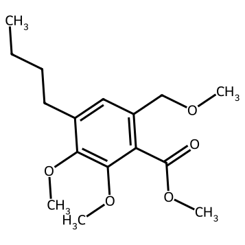 CCCCc1cc(COC)c(C(=O)OC)c(OC)c1OC